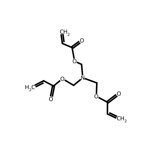 C=CC(=O)OCN(COC(=O)C=C)COC(=O)C=C